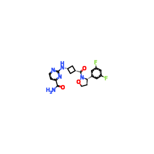 NC(=O)c1ccnc(N[C@H]2C[C@@H](C(=O)N3OCC[C@H]3c3cc(F)cc(F)c3)C2)n1